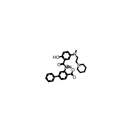 CN(CCN1CCCCC1)c1ccc(O)c(C(=O)Nc2cc(-c3ccccc3)ccc2C(=O)OC(C)(C)C)c1